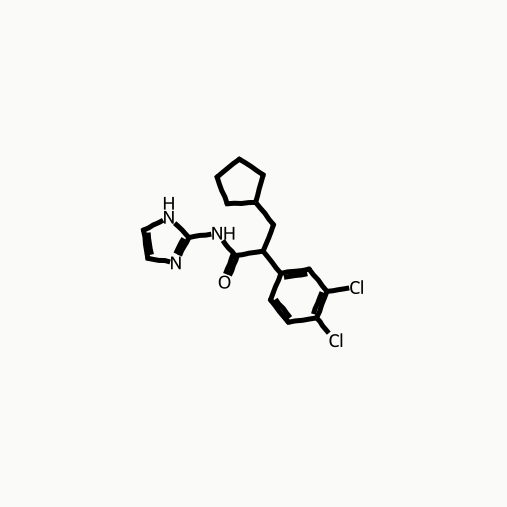 O=C(Nc1ncc[nH]1)C(CC1CCCC1)c1ccc(Cl)c(Cl)c1